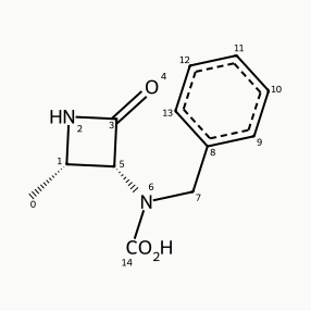 C[C@@H]1NC(=O)[C@@H]1N(Cc1ccccc1)C(=O)O